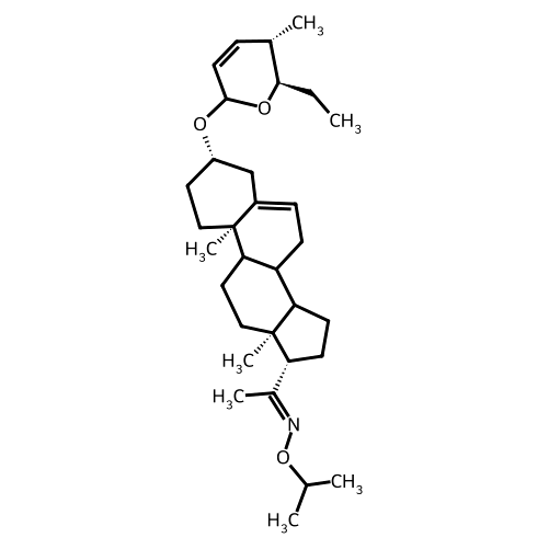 CC[C@H]1OC(O[C@H]2CC[C@@]3(C)C(=CCC4C3CC[C@@]3(C)C4CC[C@@H]3/C(C)=N/OC(C)C)C2)C=C[C@@H]1C